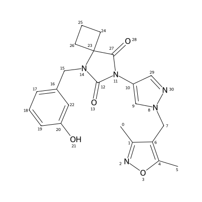 Cc1noc(C)c1Cn1cc(N2C(=O)N(Cc3cccc(O)c3)C3(CCC3)C2=O)cn1